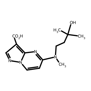 CN(CCC(C)(C)O)c1ccn2ncc(C(=O)O)c2n1